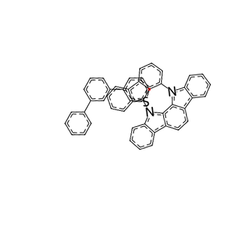 c1ccc(-c2cccc(-c3cccc(-n4c5ccccc5c5ccc6c7ccccc7n(-c7cccc8c7sc7ccccc78)c6c54)c3)c2)cc1